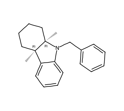 C[C@@]12CCCC[C@]1(C)c1ccccc1N2Cc1ccccc1